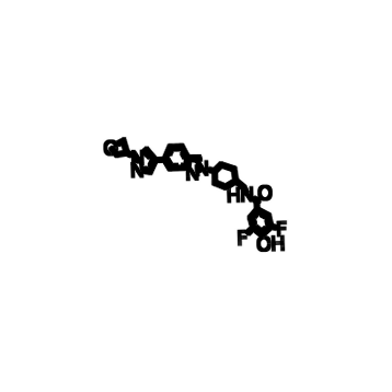 O=C(NCC1CCC(n2cc3ccc(-c4cnn(C5COC5)c4)cc3n2)CC1)c1cc(F)c(O)c(F)c1